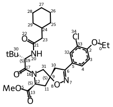 CCOc1ccc(C2=NO[C@]3(C2)C[C@@H](C(=O)OC)N(C(=O)[C@@H](NC(=O)CC2CCCCC2)C(C)(C)C)C3)cc1Cl